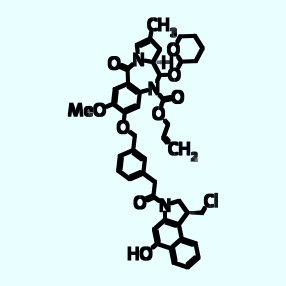 C=CCOC(=O)N1c2cc(OCc3cccc(CC(=O)N4C[C@@H](CCl)c5c4cc(O)c4ccccc54)c3)c(OC)cc2C(=O)N2C=C(C)C[C@H]2C1OC1CCCCO1